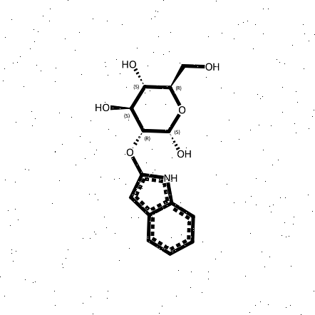 OC[C@H]1O[C@H](O)[C@H](Oc2cc3ccccc3[nH]2)[C@@H](O)[C@@H]1O